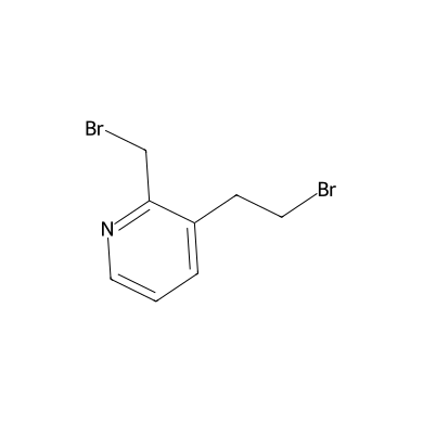 BrCCc1cccnc1CBr